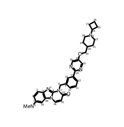 CNc1ccc2nc3n(Cc4cccc(-c5ncc(OCC6CCN(C7CCC7)CC6)cn5)c4)c(=O)ccn3c2c1